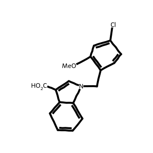 COc1cc(Cl)ccc1Cn1cc(C(=O)O)c2ccccc21